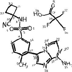 Cc1ccc(S(=O)(=O)NC2(C#N)CCC2)cc1-c1cnc2c(N)ncnn12.O=C(O)C(F)(F)F